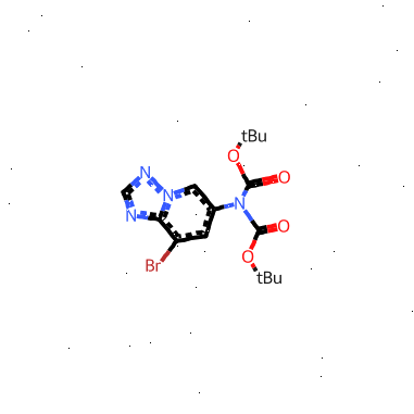 CC(C)(C)OC(=O)N(C(=O)OC(C)(C)C)c1cc(Br)c2ncnn2c1